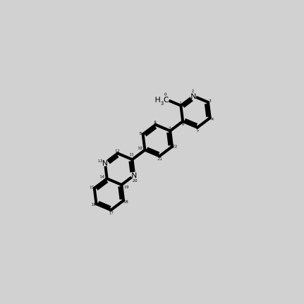 Cc1ncccc1-c1ccc(-c2cnc3ccccc3n2)cc1